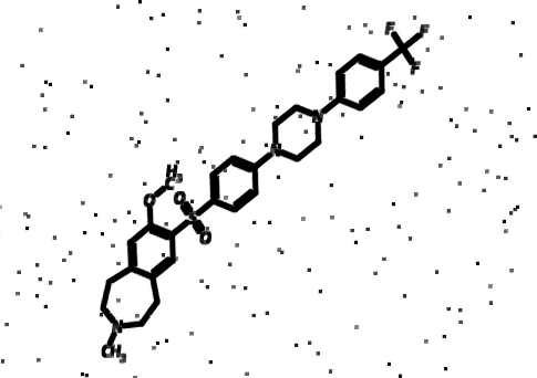 COc1cc2c(cc1S(=O)(=O)c1ccc(N3CCN(c4ccc(C(F)(F)F)cc4)CC3)cc1)CCN(C)CC2